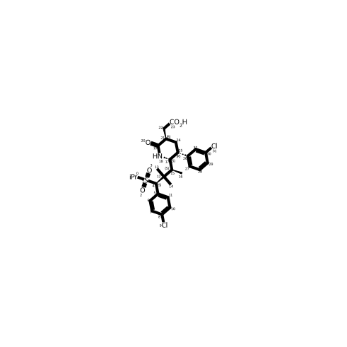 CC(C)S(=O)(=O)[C@H](c1ccc(Cl)cc1)C(C)(C)[C@H](C)[C@@H]1NC(=O)[C@@H](CC(=O)O)C[C@@H]1c1cccc(Cl)c1